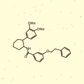 COc1ccc(C2CCCCC2NC(=O)c2cccc(OCCc3ccccc3)c2)cc1OC